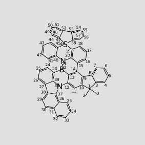 CC1(C)c2ccccc2-c2c1cc1c3c2-c2cccc4c2N(B3c2cccc3c5ccc6ccccc6c5n-1c23)c1ccccc1S41c2ccccc2-c2ccccc21